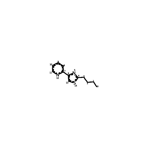 CCCCc1nc(-c2ccccn2)cs1